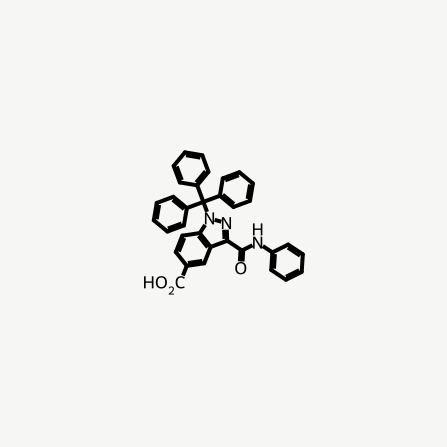 O=C(O)c1ccc2c(c1)c(C(=O)Nc1ccccc1)nn2C(c1ccccc1)(c1ccccc1)c1ccccc1